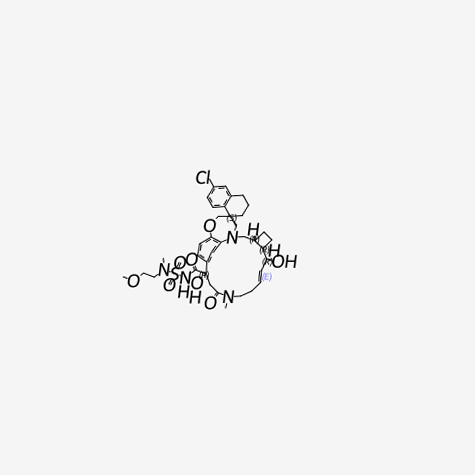 COCCN(C)S(=O)(=O)NC(=O)[C@@]1(O)CC(=O)N(C)CC/C=C/[C@H](O)[C@@H]2CC[C@H]2CN2C[C@@]3(CCCc4cc(Cl)ccc43)COc3ccc1cc32